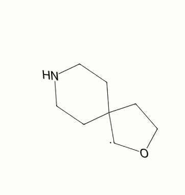 [CH]1OCCC12CCNCC2